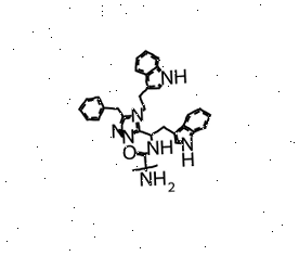 CC(C)(N)C(=O)NC(Cc1c[nH]c2ccccc12)c1nnc(Cc2ccccc2)n1CCc1c[nH]c2ccccc12